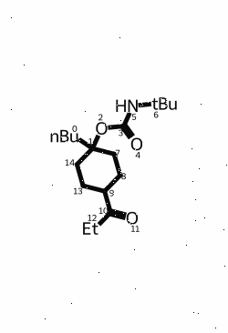 CCCCC1(OC(=O)NC(C)(C)C)CCC(C(=O)CC)CC1